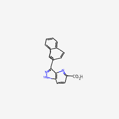 O=C(O)c1ccc2[nH]nc(-c3ccc4ccccc4c3)c2n1